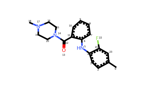 Cc1ccc(Nc2ccccc2C(=O)N2CCN(C)CC2)c(F)c1